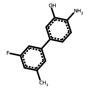 Cc1cc(F)cc(-c2ccc(N)c(O)c2)c1